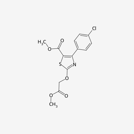 COC(=O)COc1nc(-c2ccc(Cl)cc2)c(C(=O)OC)s1